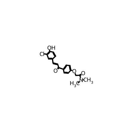 CN(C)C(=O)COc1ccc(C(=O)/C=C/c2ccc(O)c(Cl)c2)cc1